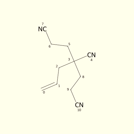 C=CCC(C#N)(CCC#N)CCC#N